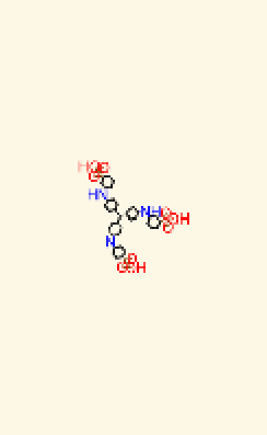 O=S(=O)(O)c1ccc(N=C2C=CC(=C(c3ccc(Nc4cccc(S(=O)(=O)O)c4)cc3)c3ccc(Nc4cccc(S(=O)(=O)O)c4)cc3)C=C2)cc1